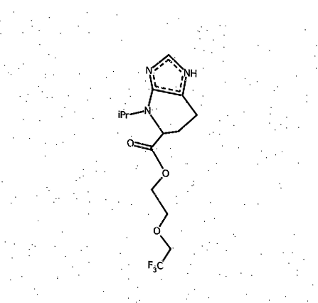 CC(C)N1c2nc[nH]c2CCC1C(=O)OCCOCC(F)(F)F